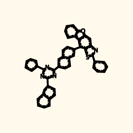 c1ccc(-c2nc(-c3ccc4ccccc4c3)nc(-c3ccc4cc(-c5c6sc(-c7ccccc7)nc6cc6oc7ccccc7c56)ccc4c3)n2)cc1